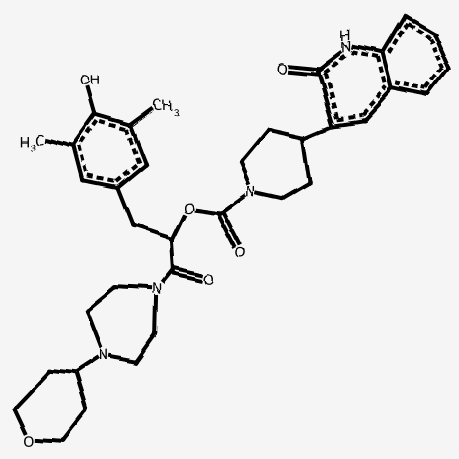 Cc1cc(CC(OC(=O)N2CCC(c3cc4ccccc4[nH]c3=O)CC2)C(=O)N2CCN(C3CCOCC3)CC2)cc(C)c1O